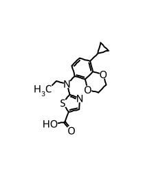 CCN(c1ncc(C(=O)O)s1)c1ccc(C2CC2)c2c1OCCO2